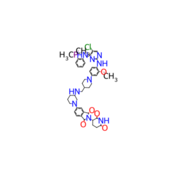 COc1cc(N2CCC(CN[C@@H]3CCCN(c4ccc5c(c4)C(=O)N(C4CCC(=O)NC4=O)C5=O)C3)CC2)ccc1Nc1ncc(Cl)c(Nc2ccccc2P(C)C)n1